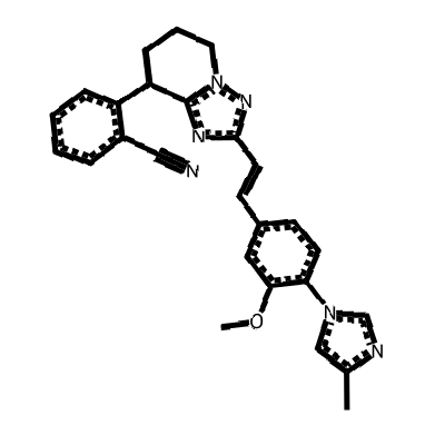 COc1cc(C=Cc2nc3n(n2)CCCC3c2ccccc2C#N)ccc1-n1cnc(C)c1